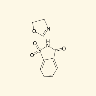 C1=NCCO1.O=C1NS(=O)(=O)c2ccccc21